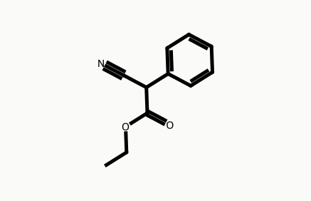 CCOC(=O)C(C#N)c1ccccc1